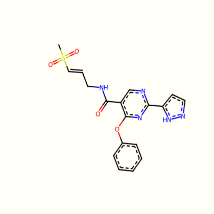 CS(=O)(=O)C=CCNC(=O)c1cnc(-c2ccn[nH]2)nc1Oc1ccccc1